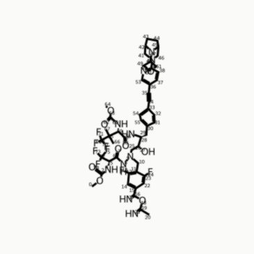 COC(=O)N[C@H](C(=O)NN(Cc1c(F)cc(C(=N)OC(C)=N)cc1F)C[C@H](O)[C@H](Cc1ccc(C#Cc2ccc(N3CC4CCC(C3)N4C3COC3)nc2)cc1)NC(=O)[C@@H](NC(=O)OC)C(C)(C)C(F)(F)F)C(F)(F)F